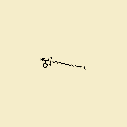 CCCCCCCCCCCCCCCCNC(C)C(O)c1ccccc1